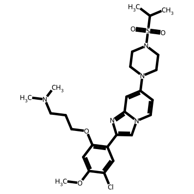 COc1cc(OCCCN(C)C)c(-c2cn3ccc(N4CCN(S(=O)(=O)C(C)C)CC4)cc3n2)cc1Cl